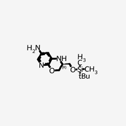 CC(C)(C)[Si](C)(C)OC[C@H]1COc2ncc(N)cc2N1